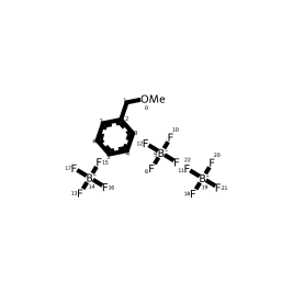 COCc1ccccc1.F[B-](F)(F)F.F[B-](F)(F)F.F[B-](F)(F)F